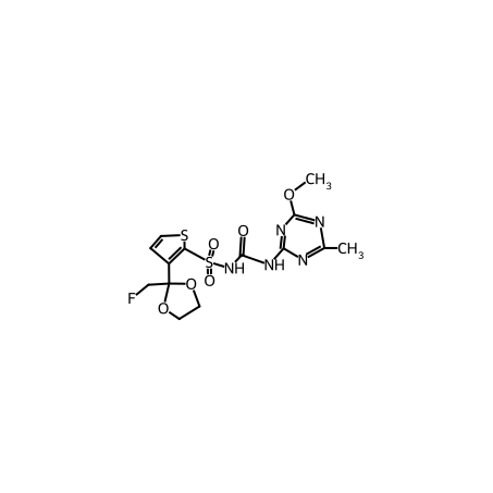 COc1nc(C)nc(NC(=O)NS(=O)(=O)c2sccc2C2(CF)OCCO2)n1